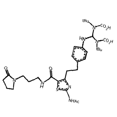 CC(=O)Nc1nc(CCc2ccc(NC(N(C(=O)O)C(C)(C)C)N(C(=O)O)C(C)(C)C)cc2)c(C(=O)NCCCN2CCCC2=O)s1